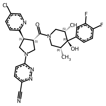 C[C@@H]1CN(C(=O)[C@@H]2CN(c3ccc(C#N)nn3)C[C@H]2c2ccc(Cl)cn2)C[C@H](C)[C@]1(O)c1ccc(F)c(F)c1